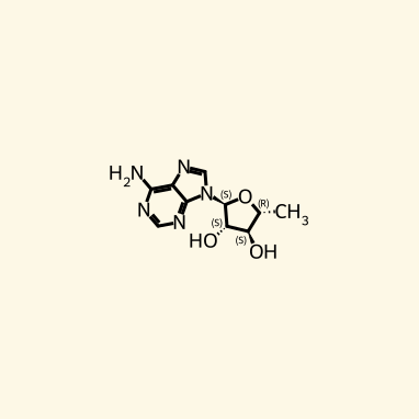 C[C@H]1O[C@H](n2cnc3c(N)ncnc32)[C@@H](O)[C@@H]1O